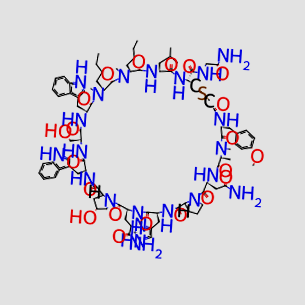 CCCC[C@H]1C(=O)N(C)[C@@H](CCCC)C(=O)N[C@@H](CC(C)C)C(=O)N[C@H](C(=O)NCC(N)=O)CSCC(=O)N[C@@H](Cc2ccc(OC)cc2)C(=O)N(C)[C@@H](C)C(=O)N[C@@H](CC(N)=O)C(=O)N2CCC[C@H]2C(=O)N[C@@H](Cc2c[nH]cn2)C(=O)N[C@@H](CCC(N)=O)C(=O)N2C[C@H](O)C[C@H]2C(=O)N[C@@H](Cc2c[nH]c3ccccc23)C(=O)N[C@@H](CO)C(=O)N[C@@H](Cc2c[nH]c3ccccc23)C(=O)N1C